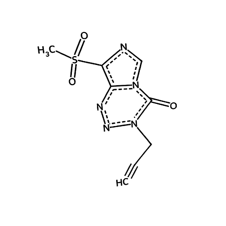 C#CCn1nnc2c(S(C)(=O)=O)ncn2c1=O